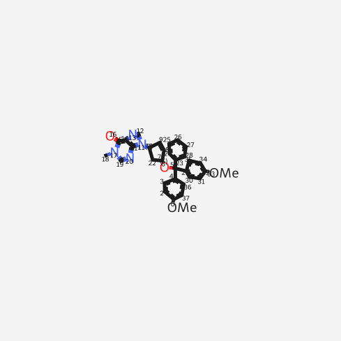 COc1ccc(C(O[C@@H]2C=C[C@H](n3cnc4c(=O)n(C)cnc43)C2)(c2ccccc2)c2ccc(OC)cc2)cc1